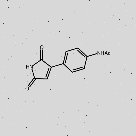 CC(=O)Nc1ccc(C2=CC(=O)NC2=O)cc1